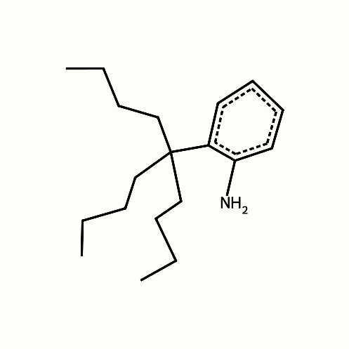 CCCCC(CCCC)(CCCC)c1ccccc1N